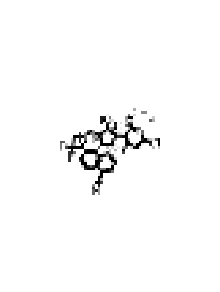 COc1nc(Cl)cc2c1[C@]1(O)[C@H](O)[C@H](CN3CC(F)(F)C3)[C@@H](c3ccccc3)[C@]1(c1ccc(C#N)cc1)O2